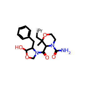 CC(C)CC1(C)OCCN(C(N)=O)C1C(=O)N1COC(O)C1Cc1ccccc1